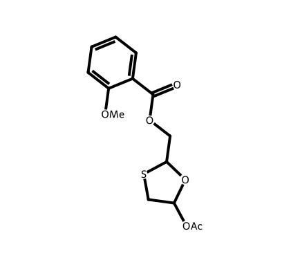 COc1ccccc1C(=O)OCC1OC(OC(C)=O)CS1